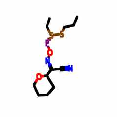 CCCSS(CC)=PON=C(C#N)C1CCCCO1